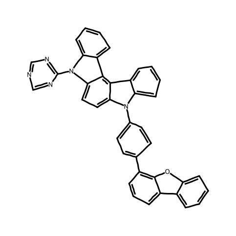 c1ccc2c(c1)oc1c(-c3ccc(-n4c5ccccc5c5c6c7ccccc7n(-c7ncncn7)c6ccc54)cc3)cccc12